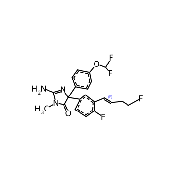 CN1C(=O)C(c2ccc(OC(F)F)cc2)(c2ccc(F)c(/C=C/CCF)c2)N=C1N